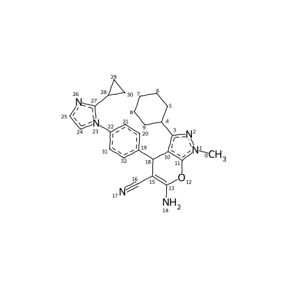 Cn1nc(C2CCCCC2)c2c1OC(N)=C(C#N)C2c1ccc(-n2ccnc2C2CC2)cc1